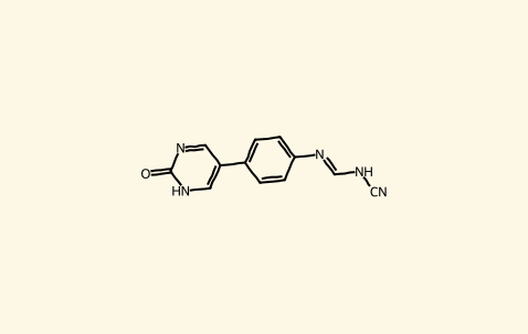 N#CNC=Nc1ccc(-c2cnc(=O)[nH]c2)cc1